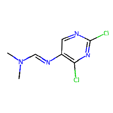 CN(C)C=Nc1cnc(Cl)nc1Cl